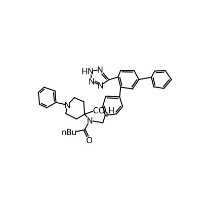 CCCCC(=O)N(Cc1ccc(-c2cc(-c3ccccc3)ccc2-c2nn[nH]n2)cc1)C1(C(=O)O)CCN(c2ccccc2)CC1